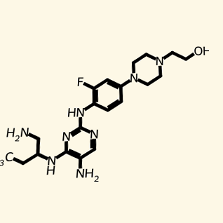 CCC(CN)Nc1nc(Nc2ccc(N3CCN(CCO)CC3)cc2F)ncc1N